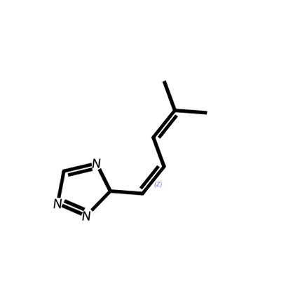 CC(C)=C/C=C\C1N=CN=N1